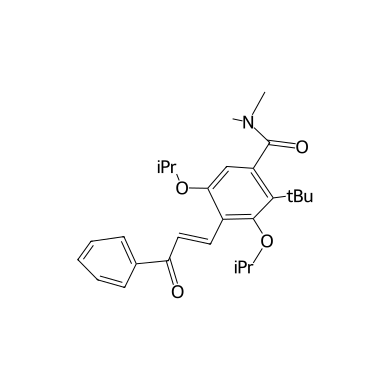 CC(C)Oc1cc(C(=O)N(C)C)c(C(C)(C)C)c(OC(C)C)c1/C=C/C(=O)c1ccccc1